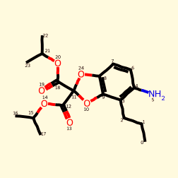 CCCc1c(N)ccc2c1OC(C(=O)OC(C)C)(C(=O)OC(C)C)O2